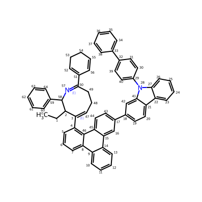 CCC1/C(c2cccc3c4ccccc4c4cc(-c5ccc6c7ccccc7n(-c7ccc(-c8ccccc8)cc7)c6c5)ccc4c23)=C\CC/C(C2=CCCC=C2)=N\C1c1ccccc1